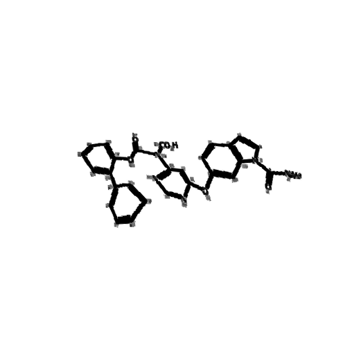 CNC(=O)n1ccc2ccc(Oc3cc(N(C(=O)O)C(=O)Oc4ccccc4-c4ccccc4)ncn3)cc21